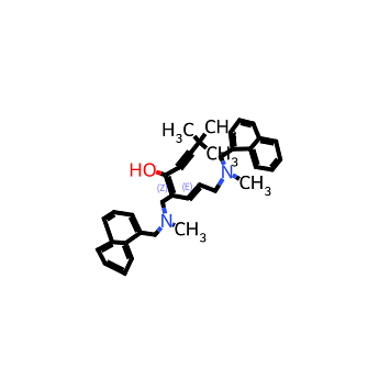 CN(C/C=C/C(CN(C)Cc1cccc2ccccc12)=C(/O)C#CC(C)(C)C)Cc1cccc2ccccc12